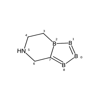 B1=BB2CCNCC2=B1